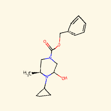 C[C@H]1CN(C(=O)OCc2ccccc2)CC(O)N1C1CC1